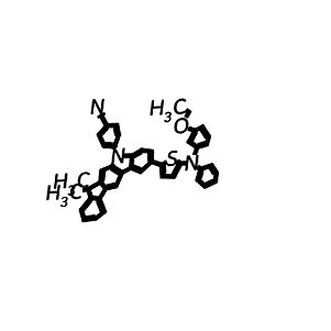 CCOc1cccc(N(c2ccccc2)c2ccc(-c3ccc4c(c3)c3cc5c(cc3n4-c3ccc(C#N)cc3)C(C)(C)c3ccccc3-5)s2)c1